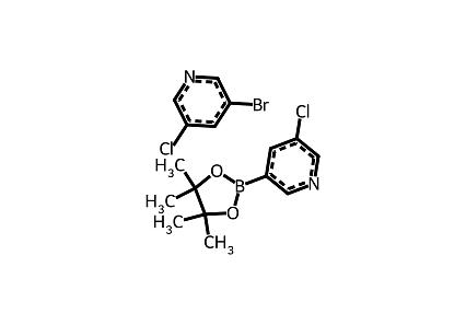 CC1(C)OB(c2cncc(Cl)c2)OC1(C)C.Clc1cncc(Br)c1